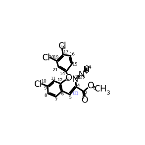 COC(=O)/C(=C/c1ccc(Cl)cc1Oc1ccc(Cl)c(Cl)c1)N=[N+]=[N-]